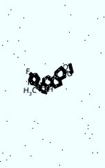 C[C@]12CC=C3C4=C(CC[C@H]3[C@@H]1CC[C@]2(C)c1ccc(F)cc1)CC1(CC4)OCCO1